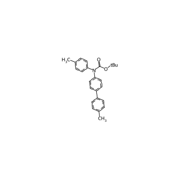 Cc1ccc(-c2ccc(N(C(=O)OC(C)(C)C)c3ccc(C)cc3)cc2)cc1